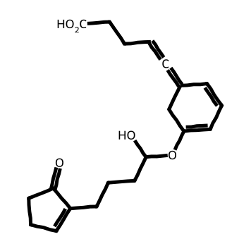 O=C(O)CCC=C=C1C=CC=C(OC(O)CCCC2=CCCC2=O)C1